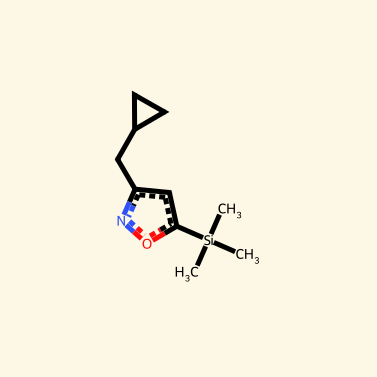 C[Si](C)(C)c1cc(CC2CC2)no1